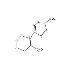 CNc1ccc(N2CCCCC2C=O)cc1